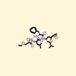 CCOC[C@H](O)C(=O)NC(CC(C)C)C(=O)N[C@@H](Cc1ccccc1)C(=O)N[C@@H](CCC(C)C)CC(=O)[C@@]1(C)CO1